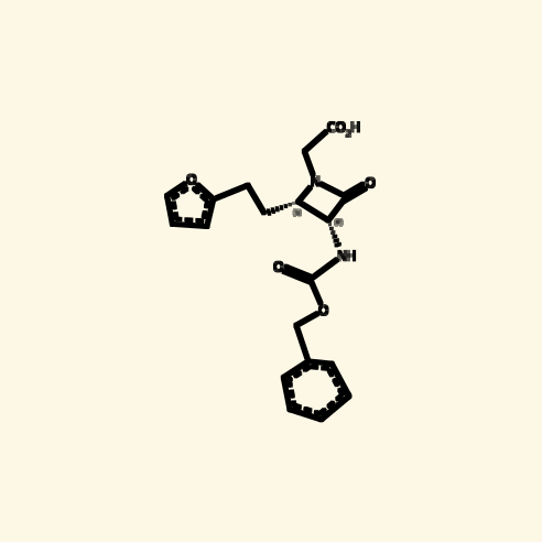 O=C(O)CN1C(=O)[C@H](NC(=O)OCc2ccccc2)[C@@H]1CCc1ccco1